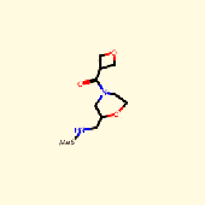 CSNCC1CN(C(=O)C2COC2)CCO1